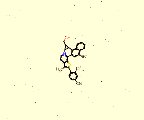 Cc1cc(C#N)ccc1-c1sc2c3[n+](ccc2c1C)C1C(CO)C1c1c-3cc(C(C)C)c2ccccc12